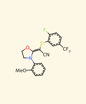 COc1ccccc1N1CCO/C1=C(/C#N)Sc1cc(C(F)(F)F)ccc1F